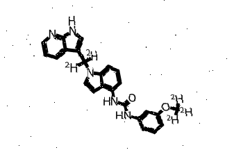 [2H]C([2H])([2H])Oc1cccc(NC(=O)Nc2cccc3c2ccn3C([2H])([2H])c2c[nH]c3ncccc23)c1